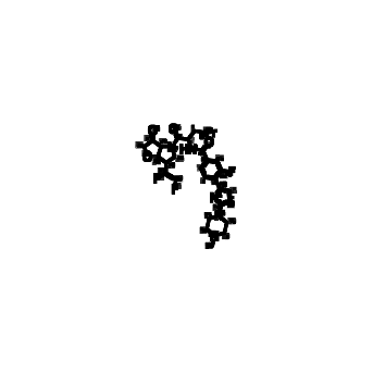 CC(C)CC(NC(=O)c1ccc(-c2csc(N3CCN(C)CC3)n2)c(F)c1)C(=O)N1CC(/C(F)=C/F)C2OCC(=O)C21